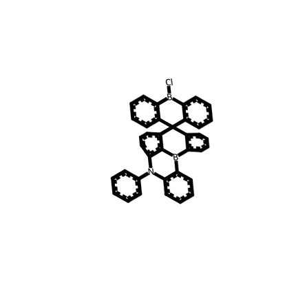 ClB1c2ccccc2C2(c3ccccc31)c1ccccc1B1c3ccccc3N(c3ccccc3)c3cccc2c31